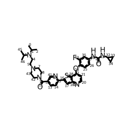 CC(C)N(CCN1CCN(C(=O)c2ccc(-c3cc4nccc(Oc5ccc(NC(=O)NC6CC6)cc5F)c4s3)nc2)CC1)C(C)C